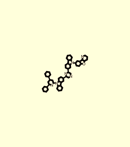 c1ccc(-c2cc(-c3ccccc3)nc(-n3c4ccccc4c4cc(-c5cncc(-c6ccc7c8ccccc8n(-c8ccc9oc%10cccnc%10c9c8)c7c6)n5)ccc43)c2)cc1